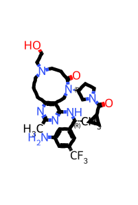 Cc1nc2c(c(N[C@H](C)c3cc(N)cc(C(F)(F)F)c3)n1)CN([C@@H]1CCN(C(=O)C3CC3)C1)C(=O)CCN(CCO)CCC2